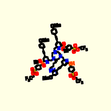 CCOP(=O)(c1ccc(S(=O)(=O)OCC(F)(F)F)cc1)c1cc(C#Cc2ccc(OC)cc2)cc(CN2CCN(Cc3cc(C#Cc4ccc(OC)cc4)cc(Pc4ccc(S(=O)(=O)OCC(F)(F)F)cc4)n3)C[C@H](CCCCN)N(Cc3cc(C#Cc4ccc(OC)cc4)cc(P(=O)(OCC)c4ccc(S(=O)(=O)OCC(F)(F)F)cc4)n3)CC2)n1